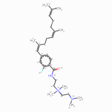 CC(C)=CCCC(C)=CCCC(C)=Cc1ccc(C(=O)NCC[N+](C)(C)CCN(C)C)c(F)c1